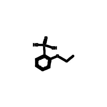 CCOc1ccccc1P(=O)(O)O